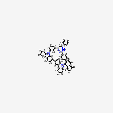 c1ccc(-c2cc(-c3cccc(-n4c5ccccc5c5ccc(-c6ccc7c(c6)c6ccccc6n7-c6cccc7ccccc67)cc54)c3)nc(-c3ccccc3)n2)cc1